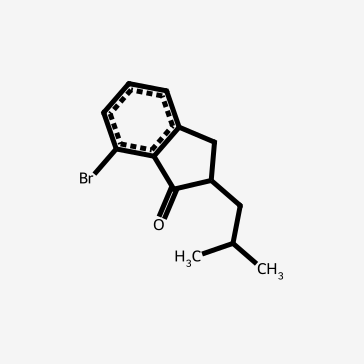 CC(C)CC1Cc2cccc(Br)c2C1=O